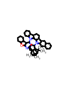 CC1(C)CC(C)(C)c2c(-n3c4cc5ccccc5cc4c4ccc5c6ccccc6n(-c6nc(-c7ccccc7)nc7oc8ccccc8c67)c5c43)cccc21